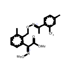 CO/N=C(/C(=O)OC)c1cccc(C)c1CO/N=C(\C)c1ccc(C)cc1C(F)(F)F